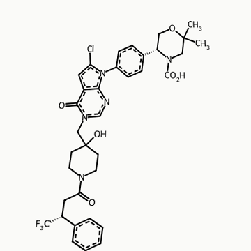 CC1(C)CN(C(=O)O)[C@H](c2ccc(-n3c(Cl)cc4c(=O)n(CC5(O)CCN(C(=O)C[C@H](c6ccccc6)C(F)(F)F)CC5)cnc43)cc2)CO1